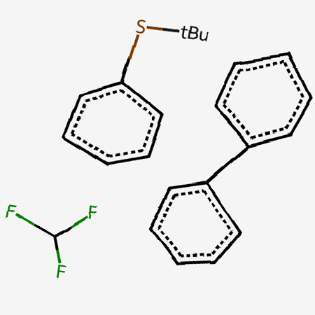 CC(C)(C)Sc1ccccc1.FC(F)F.c1ccc(-c2ccccc2)cc1